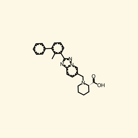 Cc1c(-c2ccccc2)cccc1-c1nc2ccc(CN3CCCC[C@H]3C(=O)O)cn2n1